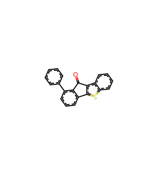 O=C1c2c(-c3ccccc3)cccc2-c2sc3ccccc3c21